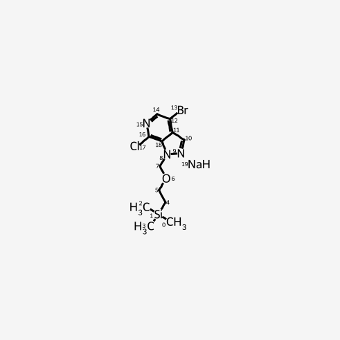 C[Si](C)(C)CCOCn1ncc2c(Br)cnc(Cl)c21.[NaH]